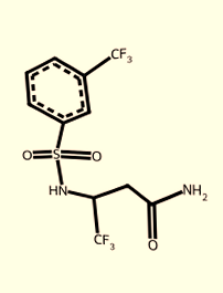 NC(=O)CC(NS(=O)(=O)c1cccc(C(F)(F)F)c1)C(F)(F)F